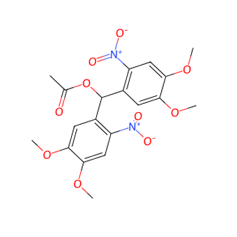 COc1cc(C(OC(C)=O)c2cc(OC)c(OC)cc2[N+](=O)[O-])c([N+](=O)[O-])cc1OC